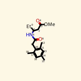 CCC(CC(=O)OC)NC(=O)Cc1c(C)cc(C)cc1C